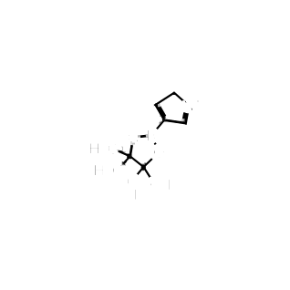 CC1(C)OB(C2=CCN=C2)OC1(C)C